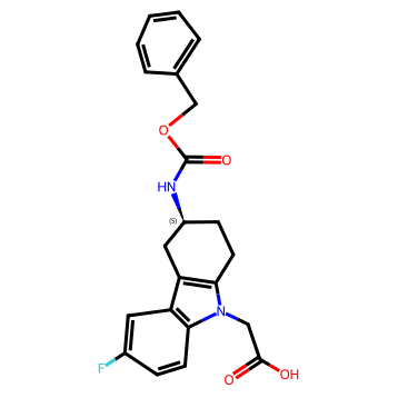 O=C(O)Cn1c2c(c3cc(F)ccc31)C[C@@H](NC(=O)OCc1ccccc1)CC2